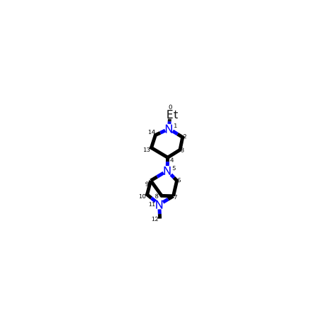 CCN1CCC(N2CC3CC2CN3C)CC1